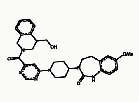 COc1ccc2c(c1)CCN(C1CCN(c3cc(C(=O)N4Cc5ccccc5C(CO)C4)ncn3)CC1)C(=O)N2